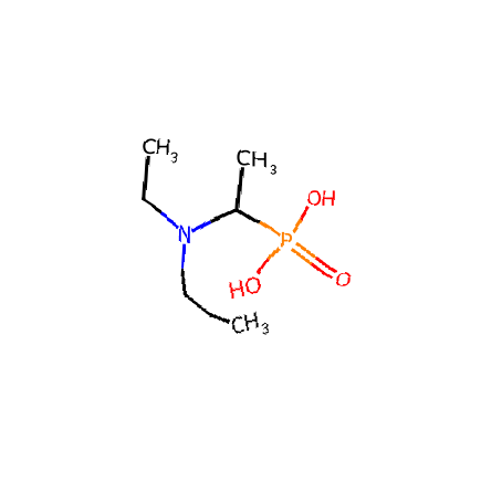 CCN(CC)C(C)P(=O)(O)O